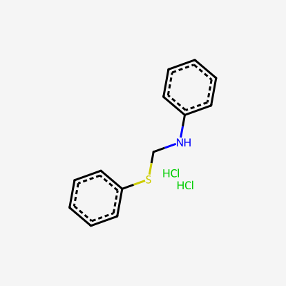 Cl.Cl.c1ccc(NCSc2ccccc2)cc1